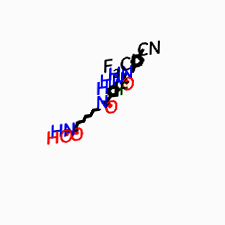 N#Cc1ccc(CNC(=O)Nc2ccc(C(=O)NCCCCCCC(=O)NO)cc2F)c(C(F)(F)F)c1